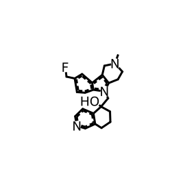 CN1CCc2c(c3cc(CF)ccc3n2CC2(O)CCCc3cnccc32)C1